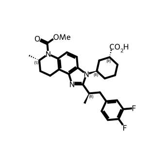 COC(=O)N1c2ccc3c(nc([C@H](C)Cc4ccc(F)c(F)c4)n3[C@@H]3CCC[C@@H](C(=O)O)C3)c2CC[C@@H]1C